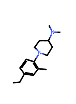 CCc1ccc(N2CCC(N(C)C)CC2)c(C)c1